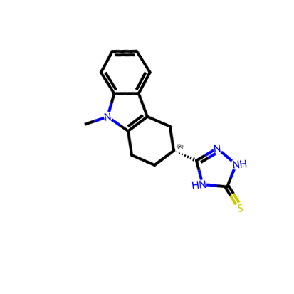 Cn1c2c(c3ccccc31)C[C@H](c1n[nH]c(=S)[nH]1)CC2